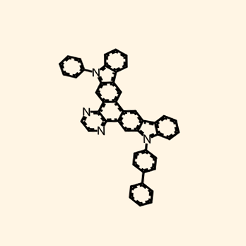 c1ccc(-c2ccc(-n3c4ccccc4c4cc5c6cc7c8ccccc8n(-c8ccccc8)c7cc6c6nccnc6c5cc43)cc2)cc1